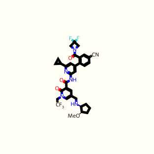 CO[C@H]1CCC[C@@H]1NCc1cc(C(=O)Nc2cc(-c3ccc(C#N)cc3C(=O)N3CC(F)(F)C3)cc(C3CC3)n2)c(=O)n(CC(F)(F)F)c1